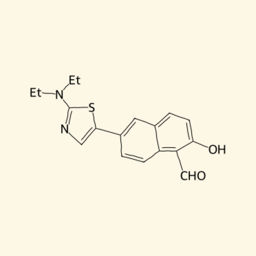 CCN(CC)c1ncc(-c2ccc3c(C=O)c(O)ccc3c2)s1